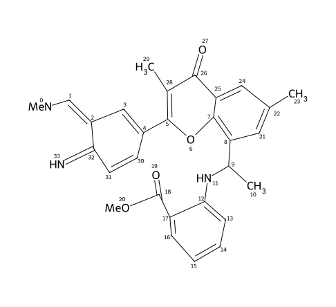 CN/C=C1/C=C(c2oc3c(C(C)Nc4ccccc4C(=O)OC)cc(C)cc3c(=O)c2C)C=CC1=N